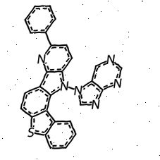 c1ccc(-c2ccc3c(n2)c2ccc4sc5ccccc5c4c2n3-n2cnc3ncncc32)cc1